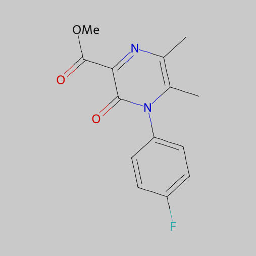 COC(=O)c1nc(C)c(C)n(-c2ccc(F)cc2)c1=O